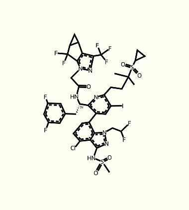 CC(C)(CCc1nc([C@H](Cc2cc(F)cc(F)c2)NC(=O)Cn2nc(C(F)(F)F)c3c2C(F)(F)C2CC32)c(-c2ccc(Cl)c3c(NS(C)(=O)=O)nn(CC(F)F)c23)cc1I)S(=O)(=O)C1CC1